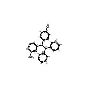 Nc1nccc(C(c2ccc(Cl)cc2)C(c2cccnc2)c2cccnc2)n1